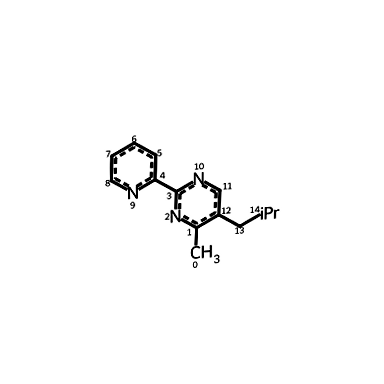 Cc1nc(-c2ccccn2)ncc1CC(C)C